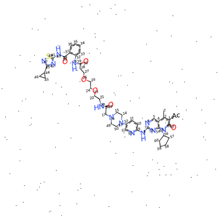 CC(=O)c1c(C)c2cnc(Nc3ccc(N4CCN(CC(=O)NCCOCCOCCC(=O)Nc5ccccc5C(=O)Nc5nc(C6CC6)ns5)CC4)cn3)nc2n(C2CCCC2)c1=O